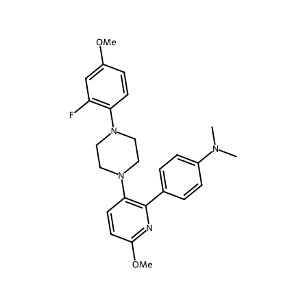 COc1ccc(N2CCN(c3ccc(OC)nc3-c3ccc(N(C)C)cc3)CC2)c(F)c1